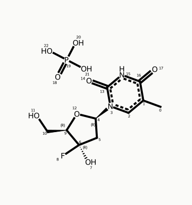 Cc1cn([C@H]2C[C@@](O)(F)[C@@H](CO)O2)c(=O)[nH]c1=O.O=P(O)(O)O